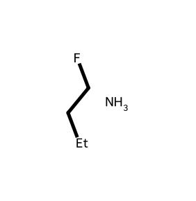 CCCCF.N